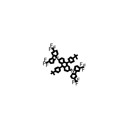 CC(C)(C)c1ccc(-c2c3ccc(-n4c5ccc(C(F)(F)F)cc5c5cc(C(F)(F)F)ccc54)cc3c(-c3ccc(C(C)(C)C)cc3)c3ccc(-n4c5ccc(C(F)(F)F)cc5c5cc(C(F)(F)F)ccc54)cc23)cc1